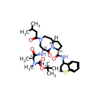 CC(C)CC(=O)N1CC[C@H]2CC[C@@H](C(=O)NC3CCSc4ccccc43)N2C(=O)[C@@H](NC(=O)[C@H](C)N(C)C(=O)OC(C)(C)C)C1